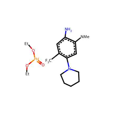 CCO[PH](=O)OCC.CNc1cc(N2CCCCC2)c(C(F)(F)F)cc1N